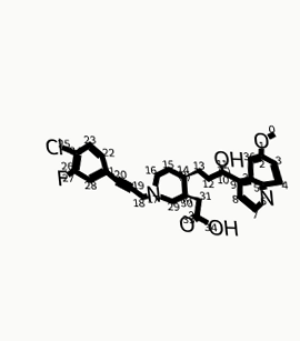 COc1ccc2nccc([C@@H](O)CC[C@@H]3CCN(CC#Cc4ccc(Cl)c(F)c4)C[C@@H]3CC(=O)O)c2c1